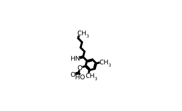 CCCCCC(=N)c1cc(C)cc(C)c1OC(=O)O